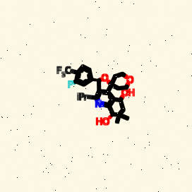 CC(C)c1nc2c(c3c1[C@@H](c1ccc(C(F)(F)F)c(F)c1)OC31CCOCC1)C(O)CC(C)(C)[C@H]2O